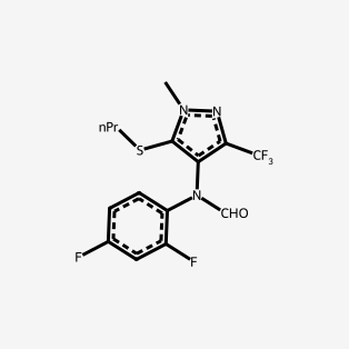 CCCSc1c(N(C=O)c2ccc(F)cc2F)c(C(F)(F)F)nn1C